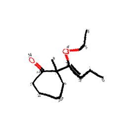 CCC=C(OCC)C1(C)CCCCC1=O